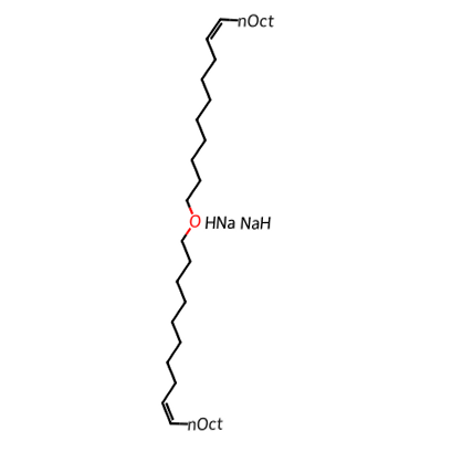 CCCCCCCC/C=C\CCCCCCCCOCCCCCCCC/C=C\CCCCCCCC.[NaH].[NaH]